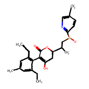 CCc1cc(C)cc(CC)c1C1=C(O)CC(C(C)C[S+]([O-])c2ccc(C)cn2)OC1=O